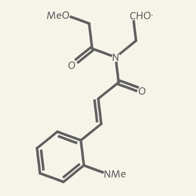 CNc1ccccc1/C=C/C(=O)N(C[C]=O)C(=O)COC